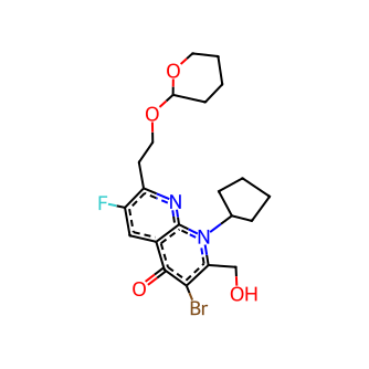 O=c1c(Br)c(CO)n(C2CCCC2)c2nc(CCOC3CCCCO3)c(F)cc12